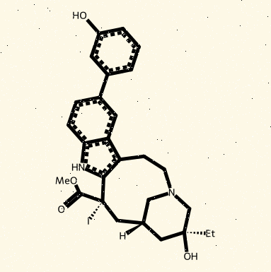 CC[C@]1(O)C[C@H]2CN(CCc3c([nH]c4ccc(-c5cccc(O)c5)cc34)[C@](I)(C(=O)OC)C2)C1